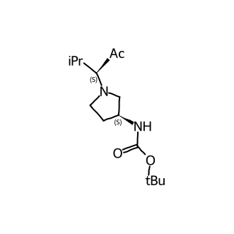 CC(=O)[C@H](C(C)C)N1CC[C@H](NC(=O)OC(C)(C)C)C1